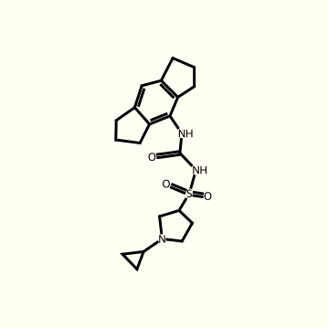 O=C(Nc1c2c(cc3c1CCC3)CCC2)NS(=O)(=O)C1CCN(C2CC2)C1